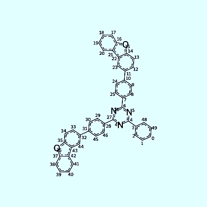 c1ccc(-c2nc(-c3ccc(-c4ccc5oc6ccccc6c5c4)cc3)nc(-c3ccc(-c4ccc5oc6ccccc6c5c4)cc3)n2)cc1